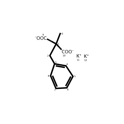 CC(Cc1ccccc1)(C(=O)[O-])C(=O)[O-].[K+].[K+]